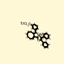 CCOC(=O)c1cccc(C(OC)C2CCCCCC=C2c2nc(-c3ccccc3)c(-c3ccccc3)o2)c1